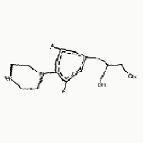 OCC(O)Cc1cc(F)c(N2CCNCC2)c(F)c1